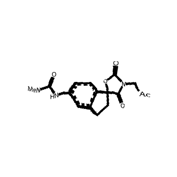 CNC(=O)Nc1ccc2c(c1)CCC21OC(=O)N(CC(C)=O)C1=O